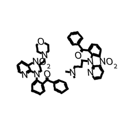 CN(C)CCCN(c1ccccc1C(=O)c1ccccc1)c1ncccc1[N+](=O)[O-].O=C(c1ccccc1)c1ccccc1N(CCCN1CCOCC1)c1ncccc1[N+](=O)[O-]